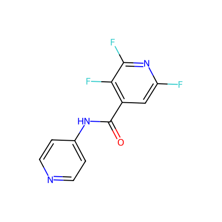 O=C(Nc1ccncc1)c1cc(F)nc(F)c1F